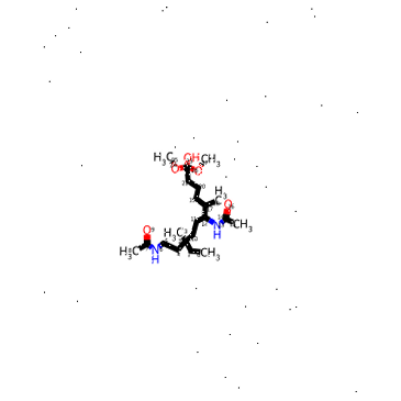 CCC(C)(CCNC(C)=O)CCC(NC(C)=O)C(C)CCCC(O)(OC)OC